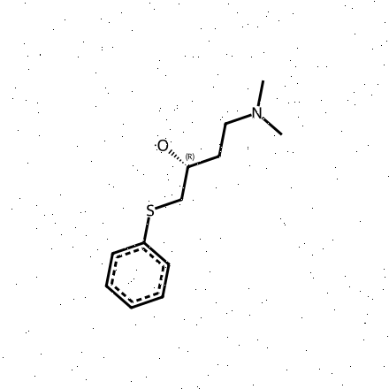 CN(C)CC[C@@H]([O])CSc1ccccc1